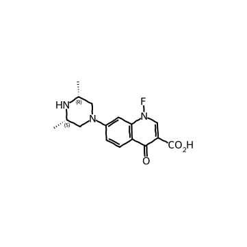 C[C@@H]1CN(c2ccc3c(=O)c(C(=O)O)cn(F)c3c2)C[C@H](C)N1